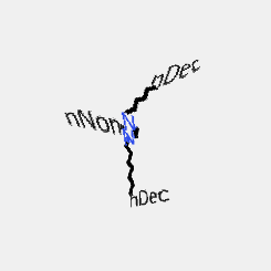 CCCCCCCCCCCCCCCCCN1C=CN(CCCCCCCCCCCCCCCC)C1CCCCCCCCC